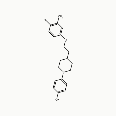 Cc1cc(OCCC2CCN(c3ccc(O)cc3)CC2)ccc1Cl